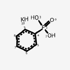 O=P(O)(O)c1ccccc1.[KH]